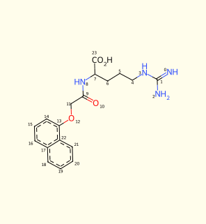 N=C(N)NCCCC(NC(=O)COc1cccc2ccccc12)C(=O)O